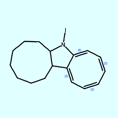 IN1C2=C/C=C\C=C/C=C\2C2CCCCCCCC21